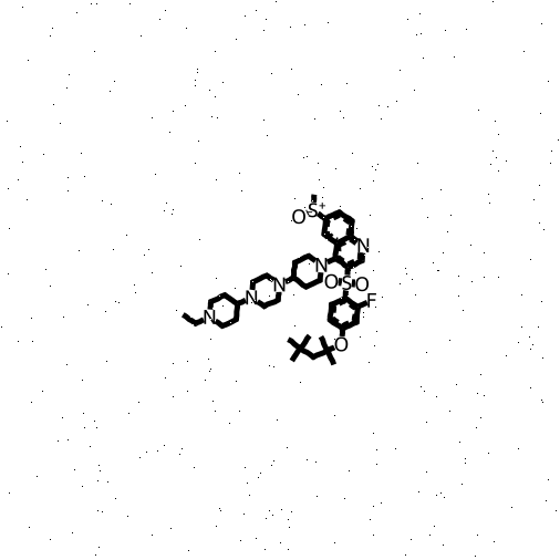 CCN1CCC(N2CCN(C3CCN(c4c(S(=O)(=O)c5ccc(OC(C)(C)CC(C)(C)C)cc5F)cnc5ccc([S+](C)[O-])cc45)CC3)CC2)CC1